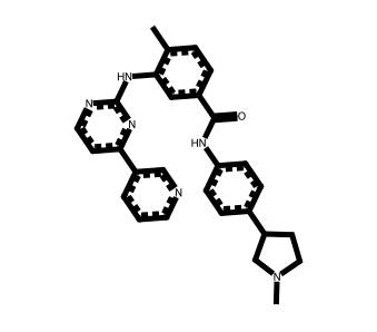 Cc1ccc(C(=O)Nc2ccc(C3CCN(C)C3)cc2)cc1Nc1nccc(-c2cccnc2)n1